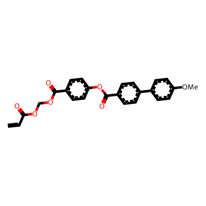 C=CC(=O)OCOC(=O)c1ccc(OC(=O)c2ccc(-c3ccc(OC)cc3)cc2)cc1